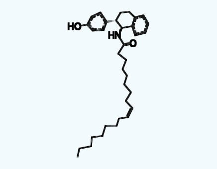 CCCCCCCC/C=C\CCCCCCCC(=O)N[C@@H]1c2ccccc2CC[C@H]1c1ccc(O)cc1